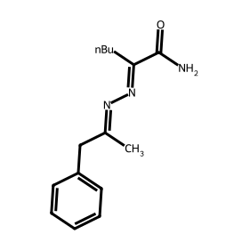 CCCC/C(=N\N=C(/C)Cc1ccccc1)C(N)=O